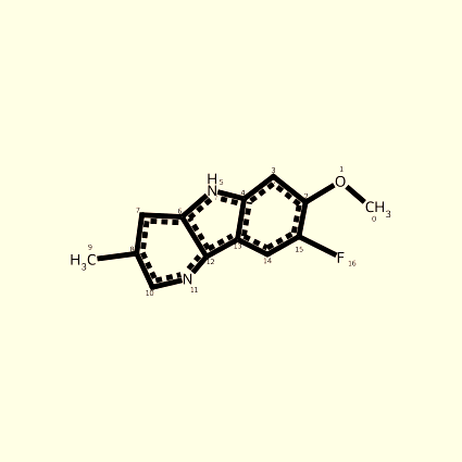 COc1cc2[nH]c3cc(C)cnc3c2cc1F